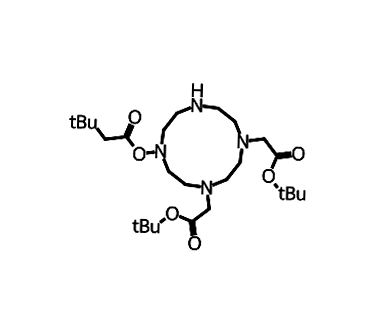 CC(C)(C)CC(=O)ON1CCNCCN(CC(=O)OC(C)(C)C)CCN(CC(=O)OC(C)(C)C)CC1